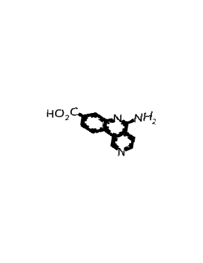 Nc1nc2cc(C(=O)O)ccc2c2cnccc12